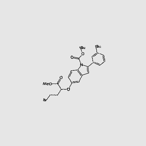 COC(=O)C(CCBr)Oc1ccc2c(c1)cc(-c1cccc(C(C)(C)C)c1)n2C(=O)OC(C)(C)C